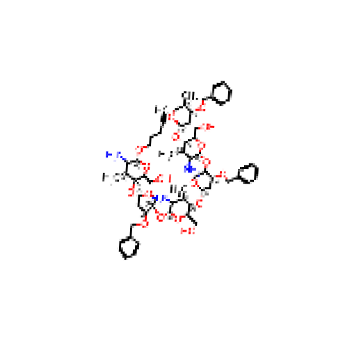 C#CCCCO[C@@H]1OC(CO)[C@@H](O[C@H]2C[C@H](OCc3ccccc3)[C@H](O[C@@H]3OC(CO)[C@@H](O[C@H]4C[C@H](OCc5ccccc5)C(O[C@@H]5OC(CO)[C@@H](O[C@H]6C[C@H](OCc7ccccc7)[C@H](C)CO6)[C@H](C)C5N)CO4)[C@H](C)C3N)CO2)[C@H](C)C1N